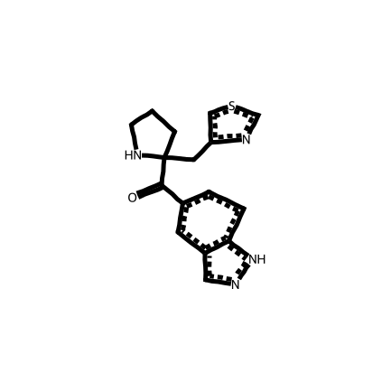 O=C(c1ccc2[nH]ncc2c1)C1(Cc2cscn2)CCCN1